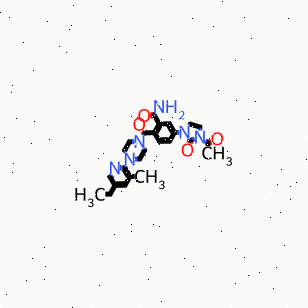 CCc1cnc(N2CCN(C(=O)c3ccc(N4CCN(C(C)=O)C4=O)cc3C(N)=O)CC2)c(C)c1